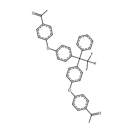 CC(=O)c1ccc(Oc2ccc(C(c3ccccc3)(c3ccc(Oc4ccc(C(C)=O)cc4)cc3)C(F)(F)F)cc2)cc1